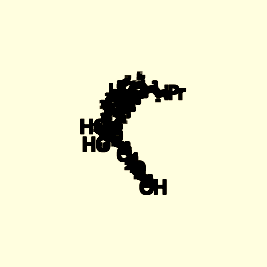 CC(C)CCC[C@@H](C)[C@H]1CC[C@H]2[C@@H]3CC=C4CC(O)(C(CO)OCCOCCOCCO)CC[C@]4(C)[C@H]3CC[C@]12C